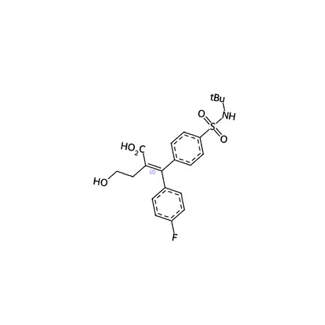 CC(C)(C)NS(=O)(=O)c1ccc(/C(=C(/CCO)C(=O)O)c2ccc(F)cc2)cc1